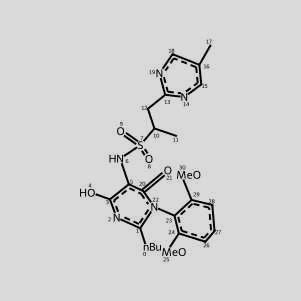 CCCCc1nc(O)c(NS(=O)(=O)C(C)Cc2ncc(C)cn2)c(=O)n1-c1c(OC)cccc1OC